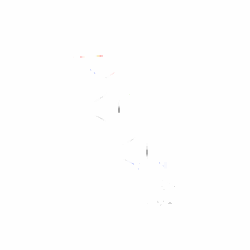 COC[C@H](C)Nc1ncc(Oc2cc(F)c(C(=O)NS(C)(=O)=O)cc2F)cc1Cl